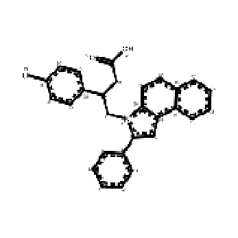 O=C(O)CC(Cn1c(-c2ccccc2)cc2c3ccccc3ccc21)c1ccc(Cl)cc1